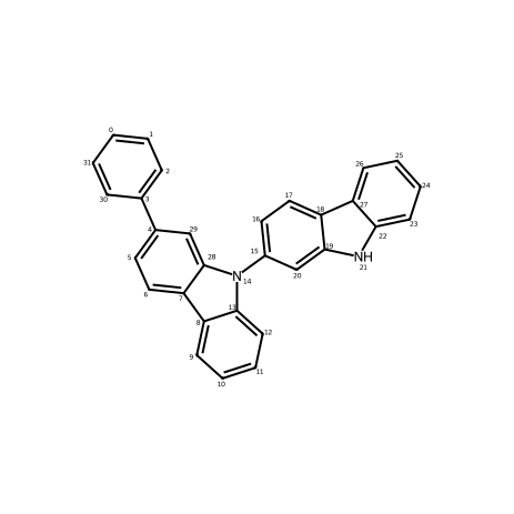 c1ccc(-c2ccc3c4ccccc4n(-c4ccc5c(c4)[nH]c4ccccc45)c3c2)cc1